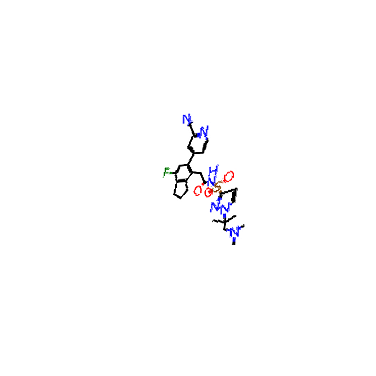 CN(C)CC(C)(C)n1ccc(S(=O)(=O)NC(=O)Cc2c(-c3ccnc(C#N)c3)cc(F)c3c2CCC3)n1